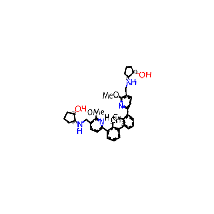 COc1nc(-c2cccc(-c3cccc(-c4ccc(CN[C@@H]5CCC[C@@H]5O)c(OC)n4)c3C)c2C)ccc1CN[C@@H]1CCC[C@@H]1O